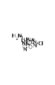 NCC1CCN(c2ccncc2NC(=O)c2c(N)nn3cc(Cl)cnc23)CC1